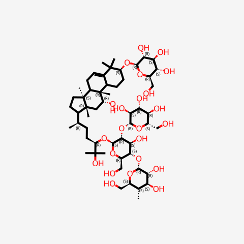 C[C@H]1[C@H](O)[C@@H](O)[C@@H](O[C@H]2[C@H](O)[C@@H](O[C@H]3O[C@@H](CO)[C@H](O)[C@@H](O)[C@@H]3O)[C@H](O[C@H](CC[C@@H](C)C3CC[C@@]4(C)C5CC=C6C(CC[C@H](O[C@@H]7O[C@H](CO)[C@@H](O)[C@H](O)[C@H]7O)C6(C)C)[C@]5(C)[C@H](O)C[C@]34C)C(C)(C)O)O[C@@H]2CO)O[C@@H]1CO